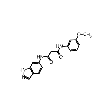 COc1cccc(NC(=O)CC(=O)Nc2ccc3cn[nH]c3c2)c1